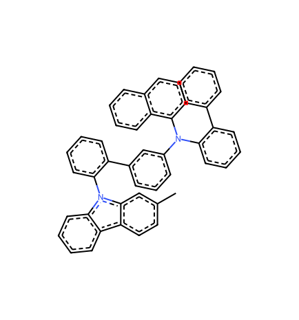 Cc1ccc2c3ccccc3n(-c3ccccc3-c3cccc(N(c4ccccc4-c4ccccc4)c4cccc5ccccc45)c3)c2c1